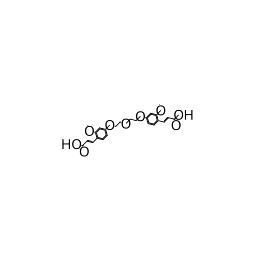 COc1cc(OCCOCCOc2ccc(/C=C/C(=O)O)c(OC)c2)ccc1/C=C/C(=O)O